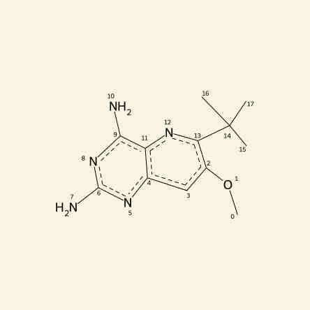 COc1cc2nc(N)nc(N)c2nc1C(C)(C)C